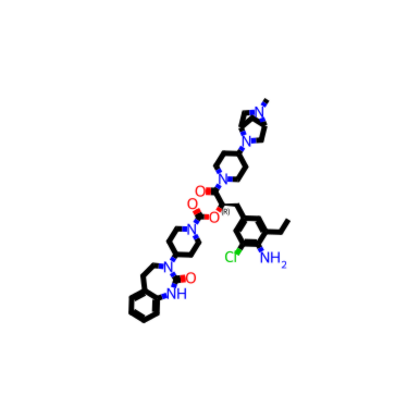 CCc1cc(C[C@@H](OC(=O)N2CCC(N3CCc4ccccc4NC3=O)CC2)C(=O)N2CCC(N3CC4CC3CN4C)CC2)cc(Cl)c1N